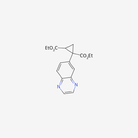 CCOC(=O)C1CC1(C(=O)OCC)c1ccc2nccnc2c1